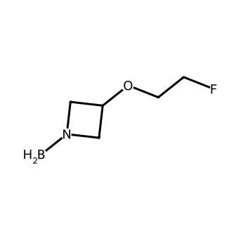 BN1CC(OCCF)C1